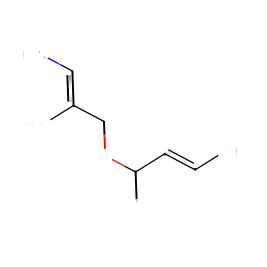 CC=CC(C)OC/C(C)=C/N